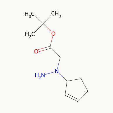 CC(C)(C)OC(=O)CN(N)C1C=CCC1